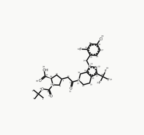 CC(C)(C)OC(=O)N1CC(CC(=O)N2CCc3c(C(F)(F)F)nn(Cc4ccc(Cl)cc4F)c3C2)C[C@@H]1C(=O)O